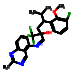 COc1c(F)cccc1C(CC(O)(/C=N\c1cccc2nc(C)ncc12)C(F)(F)F)C(C)C